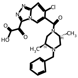 C[C@@H]1CN(Cc2ccccc2)[C@@H](C)CN1C(=O)c1cn2c(C(=O)C(=O)O)nnc2cc1Cl